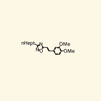 CCCCCCCc1noc(C=Cc2ccc(OC)c(OC)c2)n1